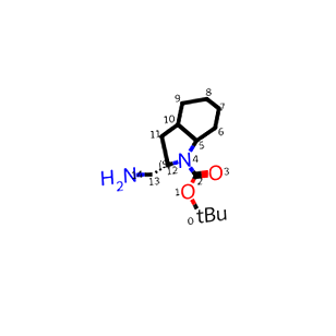 CC(C)(C)OC(=O)N1C2CCCCC2C[C@H]1CN